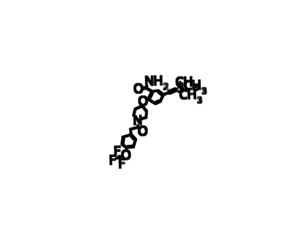 CS(C)(C)C#Cc1ccc(OC2CCN(C(=O)Cc3ccc(OC(F)(F)F)cc3)CC2)c(C(N)=O)c1